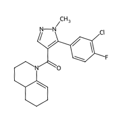 Cn1ncc(C(=O)N2CCCC3CCCC=C32)c1-c1ccc(F)c(Cl)c1